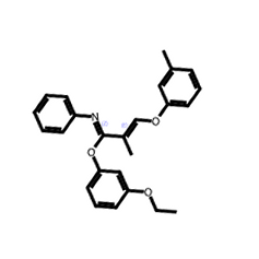 CCOc1cccc(OC(=N\c2ccccc2)/C(C)=C/Oc2cccc(C)c2)c1